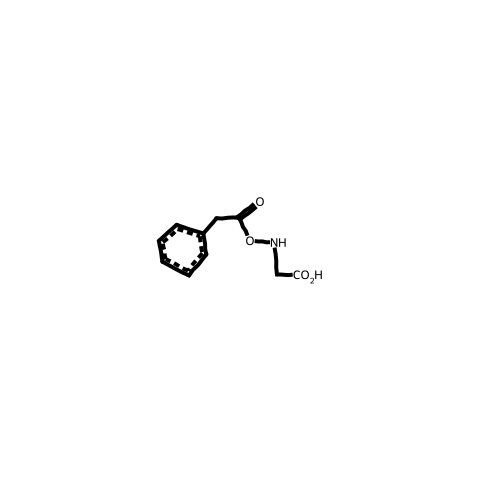 O=C(O)CNOC(=O)Cc1ccccc1